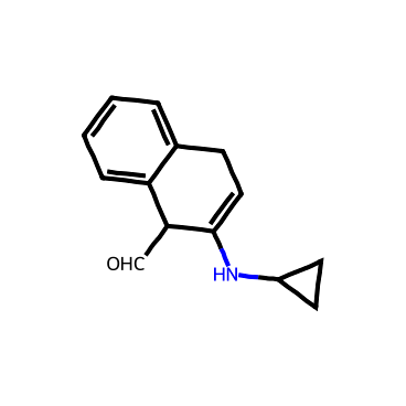 O=CC1C(NC2CC2)=CCc2ccccc21